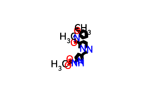 COC(=O)Nc1ccc(-c2cnc3ccc(C(=O)N(C)c4ccccc4OC)cn23)cn1